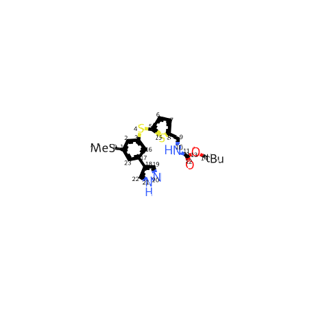 CSc1cc(Sc2ccc(CNC(=O)OC(C)(C)C)s2)cc(-c2cn[nH]c2)c1